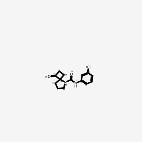 O=C(Nc1cccc(Cl)c1)N1CCCC12CCC2=O